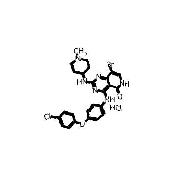 CN1CCC(Nc2nc(Nc3ccc(Oc4ccc(Cl)cc4)cc3)c3c(=O)[nH]cc(Br)c3n2)CC1.Cl